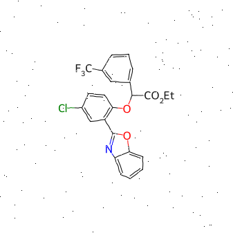 CCOC(=O)C(Oc1ccc(Cl)cc1-c1nc2ccccc2o1)c1cccc(C(F)(F)F)c1